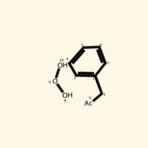 CC(=O)Cc1ccccc1.OOO